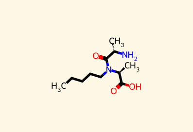 CCCCCN(C(=O)[C@H](C)N)[C@@H](C)C(=O)O